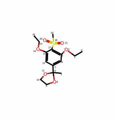 CCOc1cc(C2(C)OCCO2)cc(OCC)c1S(C)(=O)=O